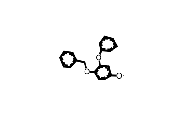 [O]c1ccc(OCc2ccccc2)c(Oc2ccccc2)c1